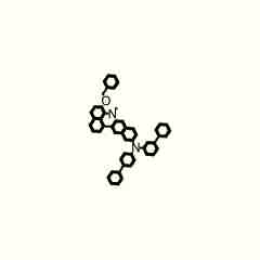 C=Nc1c(OCc2ccccc2)ccc2cccc(-c3ccc4ccc(N(c5ccc(-c6ccccc6)cc5)c5cccc(-c6ccccc6)c5)cc4c3)c12